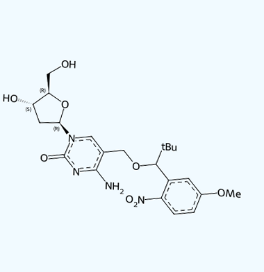 COc1ccc([N+](=O)[O-])c(C(OCc2cn([C@H]3C[C@H](O)[C@@H](CO)O3)c(=O)nc2N)C(C)(C)C)c1